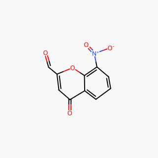 O=Cc1cc(=O)c2cccc([N+](=O)[O-])c2o1